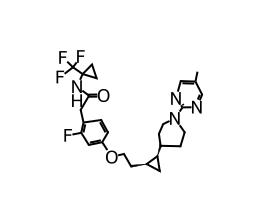 Cc1cnc(N2CCC([C@H]3C[C@H]3CCOc3ccc(CC(=O)NC4(C(F)(F)F)CC4)c(F)c3)CC2)nc1